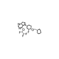 Fc1cc(-n2ccc3ncnc(OC(F)C(F)F)c32)ccc1OCc1ccccc1